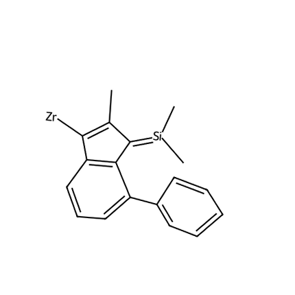 CC1=[C]([Zr])c2cccc(-c3ccccc3)c2C1=[Si](C)C